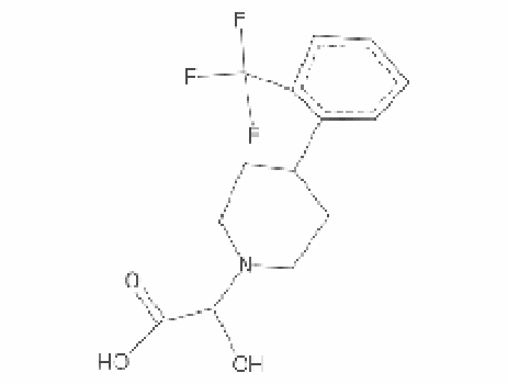 O=C(O)C(O)N1CCC(c2ccccc2C(F)(F)F)CC1